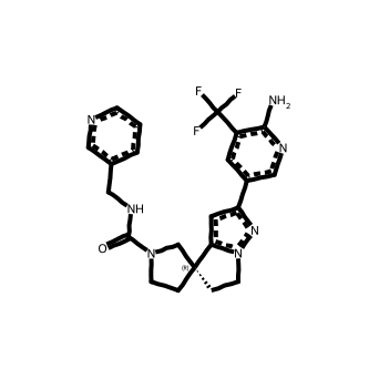 Nc1ncc(-c2cc3n(n2)CC[C@@]32CCN(C(=O)NCc3cccnc3)C2)cc1C(F)(F)F